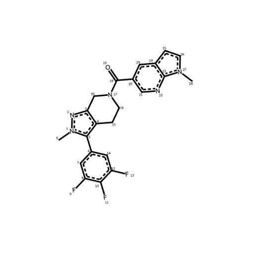 Cn1nc2c(c1-c1cc(F)c(F)c(F)c1)CCN(C(=O)c1cnc3c(ccn3C)c1)C2